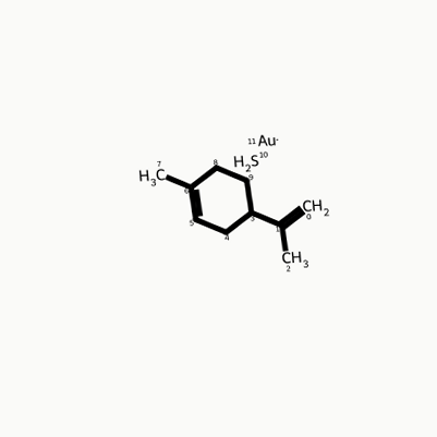 C=C(C)C1CC=C(C)CC1.S.[Au]